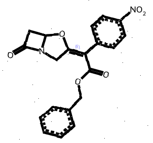 O=C(OCc1ccccc1)/C(=C1\CN2C(=O)CC2O1)c1ccc([N+](=O)[O-])cc1